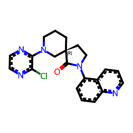 O=C1N(c2cccc3ncccc23)CC[C@@]12CCCN(c1nccnc1Cl)C2